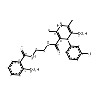 CC1=C(C(=O)O)[C@@H](c2cccc(Cl)c2)C(C(=O)OCCNC(=O)c2ccccc2C(=O)O)=C(C)N1